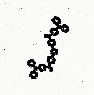 O=C(c1ccc(-c2ccc(-c3ccc(C(=O)c4ccc(N(c5ccccc5)c5ccccc5)cc4)cc3)s2)cc1)c1ccc(N(c2ccccc2)c2ccccc2)cc1